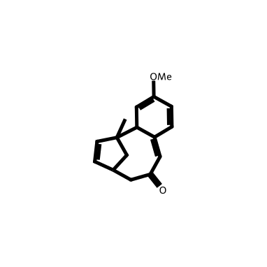 COC1=CC2/C(=C\C(=O)CC3C=CC2(C)C3)C=C1